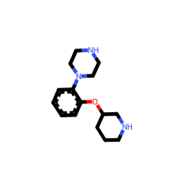 c1ccc(N2CCNCC2)c(OC2CCCNC2)c1